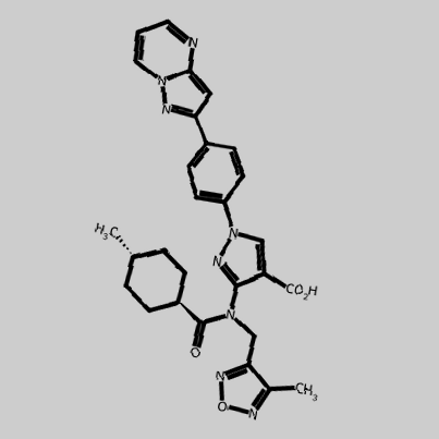 Cc1nonc1CN(c1nn(-c2ccc(-c3cc4ncccn4n3)cc2)cc1C(=O)O)C(=O)[C@H]1CC[C@H](C)CC1